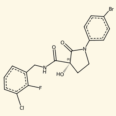 O=C(NCc1cccc(Cl)c1F)[C@]1(O)CCN(c2ccc(Br)cc2)C1=O